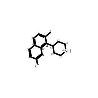 Cc1ccc2ccc(F)cc2c1C1CCNCC1